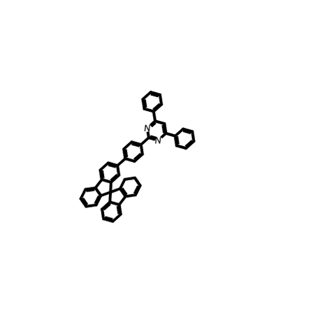 C1=CC2=C(CC1)C1(c3ccccc32)c2ccccc2-c2ccc(-c3ccc(-c4nc(-c5ccccc5)cc(-c5ccccc5)n4)cc3)cc21